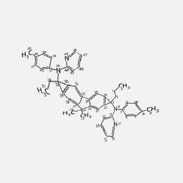 CCCC1(N(c2ccc(C)cc2)c2ccccn2)c2cc3c(cc21)C(C)(C)c1cc2c(cc1-3)C2(CC)N(c1ccc(C)cc1)c1ccccn1